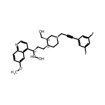 COc1ccc2nccc([C@@H](CC[C@@H]3CCN(CC#Cc4cc(F)cc(F)c4)C[C@@H]3CO)NO)c2c1